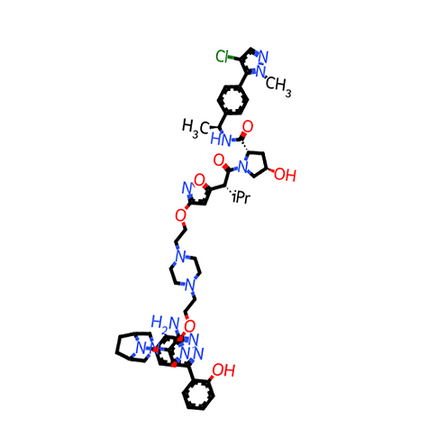 CC(C)[C@@H](C(=O)N1C[C@H](O)C[C@H]1C(=O)N[C@@H](C)c1ccc(-c2c(Cl)cnn2C)cc1)c1cc(OCCN2CCN(CCOc3cc(N4C5CCC4CN(c4cc(-c6ccccc6O)nnc4N)C5)ccn3)CC2)no1